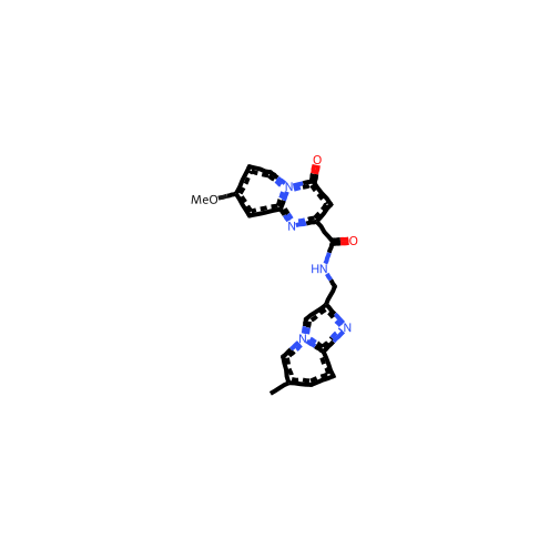 COc1ccn2c(=O)cc(C(=O)NCc3cn4cc(C)ccc4n3)nc2c1